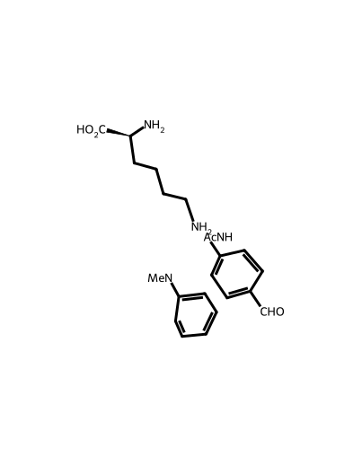 CC(=O)Nc1ccc(C=O)cc1.CNc1ccccc1.NCCCC[C@H](N)C(=O)O